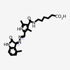 Cc1cccc2c1/C(=N/N=C/c1[nH]c(C)c(C(=O)NCCCCCC(=O)O)c1C)C(=O)N2